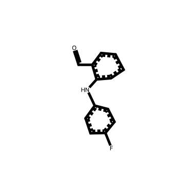 O=Cc1ccccc1Nc1ccc(F)cc1